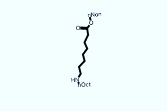 CCCCCCCCCOC(=O)CCCCCCCNCCCCCCCC